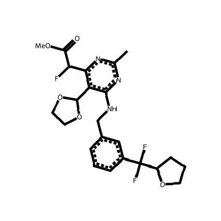 COC(=O)C(F)c1nc(C)nc(NCc2cccc(C(F)(F)C3CCCO3)c2)c1C1OCCO1